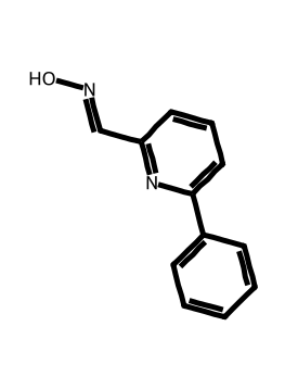 ON=Cc1cccc(-c2ccccc2)n1